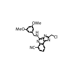 COc1cc(CNc2nc3c(C#N)cccc3c3nc(CCl)nn23)cc(OC)c1